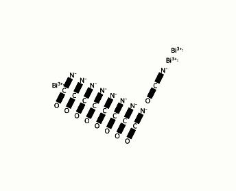 [Bi+3].[Bi+3].[Bi+3].[N-]=C=O.[N-]=C=O.[N-]=C=O.[N-]=C=O.[N-]=C=O.[N-]=C=O.[N-]=C=O.[N-]=C=O.[N-]=C=O